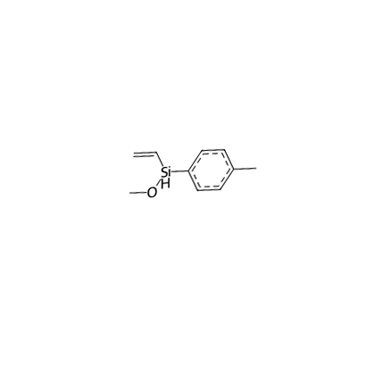 C=C[SiH](OC)c1ccc(C)cc1